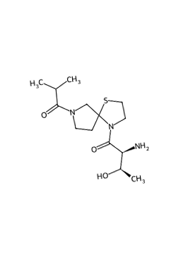 CC(C)C(=O)N1CCC2(C1)SCCN2C(=O)[C@@H](N)[C@@H](C)O